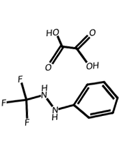 FC(F)(F)NNc1ccccc1.O=C(O)C(=O)O